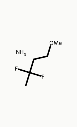 COCCC(C)(F)F.N